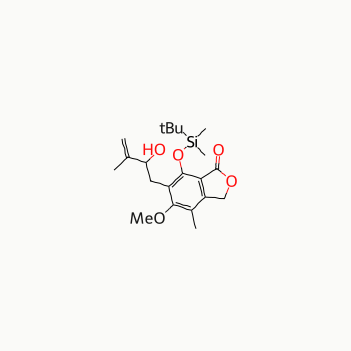 C=C(C)C(O)Cc1c(OC)c(C)c2c(c1O[Si](C)(C)C(C)(C)C)C(=O)OC2